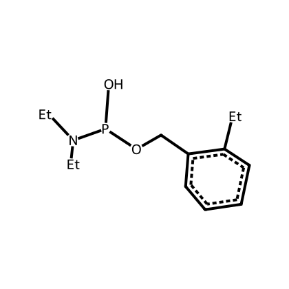 CCc1ccccc1COP(O)N(CC)CC